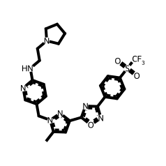 Cc1cc(-c2nc(-c3ccc(S(=O)(=O)C(F)(F)F)cc3)no2)nn1Cc1ccc(NCCN2CCCC2)nc1